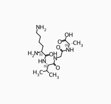 CC(C)[C@H](NC(=O)[C@@H](N)CCCCN)C(=O)NCC(=O)N[C@@H](C)C(=O)O